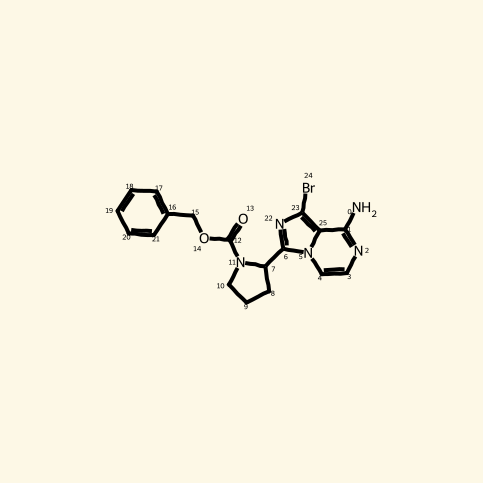 Nc1nccn2c(C3CCCN3C(=O)OCc3ccccc3)nc(Br)c12